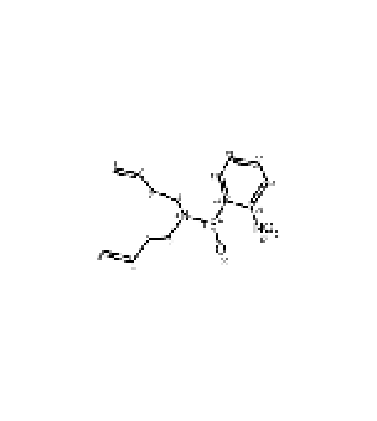 C=CCCN(CCC=C)[S+]([O-])c1ccccc1[N+](=O)[O-]